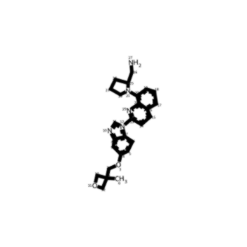 CC1(COc2ccc3c(c2)ncn3-c2ccc3cccc(N4CCCC4CN)c3n2)COC1